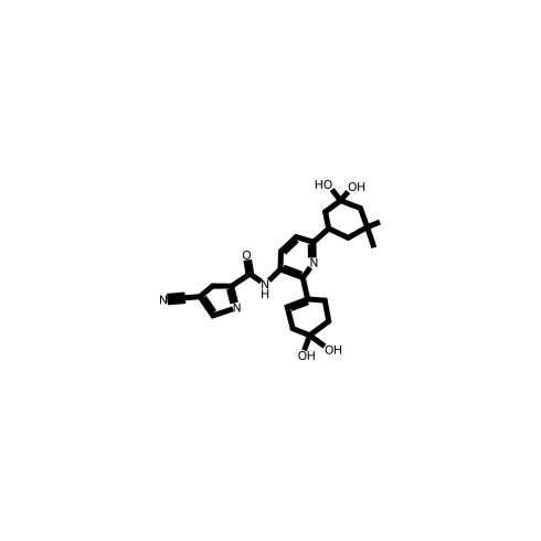 CC1(C)CC(c2ccc(NC(=O)C3=NC=C(C#N)C3)c(C3=CCC(O)(O)CC3)n2)CC(O)(O)C1